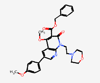 COc1ccc(-c2cnc3c(c2)c(OC)c(C(=O)OCc2ccccc2)c(=O)n3CCN2CCOCC2)cc1